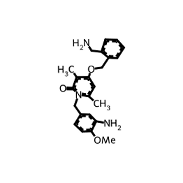 COc1ccc(Cn2c(C)cc(OCc3ccccc3CN)c(C)c2=O)cc1N